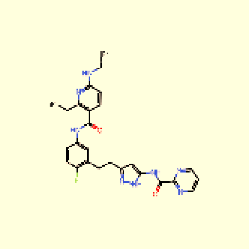 CC(C)CNc1ccc(C(=O)Nc2ccc(F)c(CCc3cc(NC(=O)c4ncccn4)[nH]n3)c2)c(CC(C)C)n1